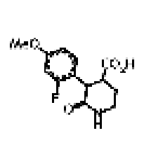 COc1ccc(C2C(=O)NCCC2C(=O)O)c(F)c1